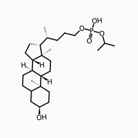 CC(C)OP(=O)(O)OCCC[C@@H](C)[C@H]1CC[C@H]2[C@@H]3CCC4C[C@H](O)CC[C@]4(C)[C@H]3CC[C@]12C